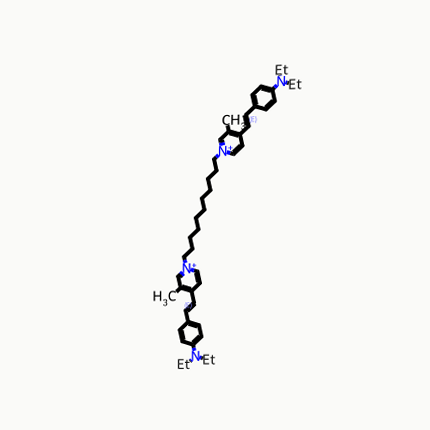 CCN(CC)c1ccc(/C=C/c2cc[n+](CCCCCCCCCCC[n+]3ccc(/C=C/c4ccc(N(CC)CC)cc4)c(C)c3)cc2C)cc1